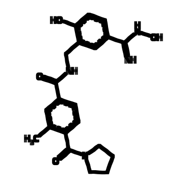 Cc1cc(C(=O)NCc2cc(C(=N)NO)ccc2O)ccc1C(=O)N1CCCC1